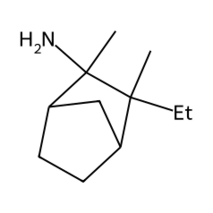 CCC1(C)C2CCC(C2)C1(C)N